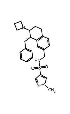 Cn1cc(S(=O)(=O)NCc2ccc3c(c2)C(Cc2ccccc2)C(N2CCC2)CC3)cn1